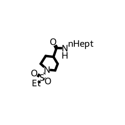 CCCCCCCNC(=O)C1CCN(S(=O)(=O)CC)CC1